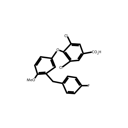 COc1ccc(Oc2c(Cl)cc(C(=O)O)cc2Cl)cc1Cc1ccc(F)cc1